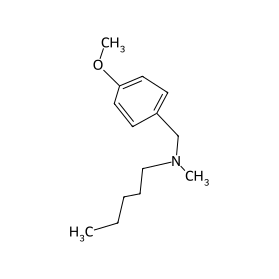 CCCCCN(C)Cc1ccc(OC)cc1